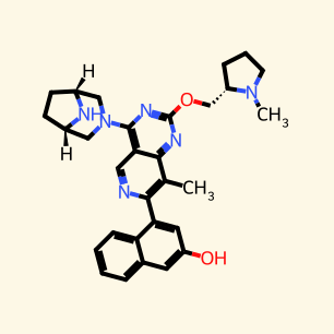 Cc1c(-c2cc(O)cc3ccccc23)ncc2c(N3C[C@H]4CC[C@@H](C3)N4)nc(OC[C@@H]3CCCN3C)nc12